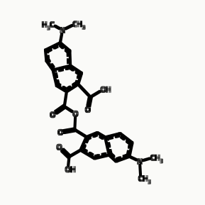 CN(C)c1ccc2cc(C(=O)OC(=O)c3cc4ccc(N(C)C)cc4cc3C(=O)O)c(C(=O)O)cc2c1